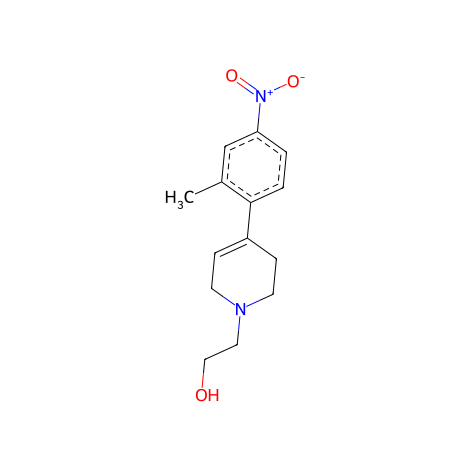 Cc1cc([N+](=O)[O-])ccc1C1=CCN(CCO)CC1